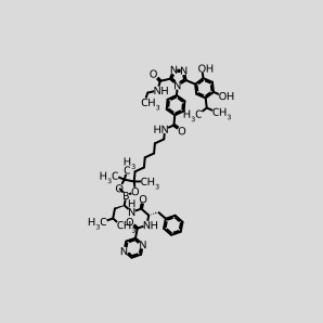 CCNC(=O)c1nnc(-c2cc(C(C)C)c(O)cc2O)n1-c1ccc(C(=O)NCCCCCCC2(C)OB([C@H](CC(C)C)NC(=O)[C@H](Cc3ccccc3)NC(=O)c3cnccn3)OC2(C)C)cc1